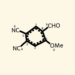 COc1cc(C#N)c(C#N)cc1C=O